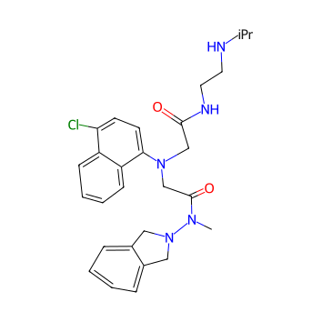 CC(C)NCCNC(=O)CN(CC(=O)N(C)N1Cc2ccccc2C1)c1ccc(Cl)c2ccccc12